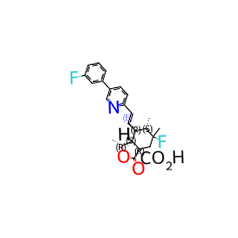 C[C@H]1OC(=O)[C@]2(C(=O)O)CC(C)(F)[C@@H](C)[C@H](/C=C/c3ccc(-c4cccc(F)c4)cn3)[C@H]12